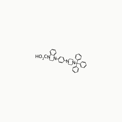 O=C(O)N1CCN(c2ccc(N3CCN(C(c4ccccc4)(c4ccccc4)c4ccccc4)CC3)cc2)c2ccccc21